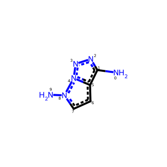 Nc1nnn2c1ccn2N